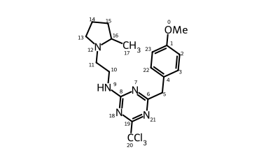 COc1ccc(Cc2nc(NCCN3CCCC3C)nc(C(Cl)(Cl)Cl)n2)cc1